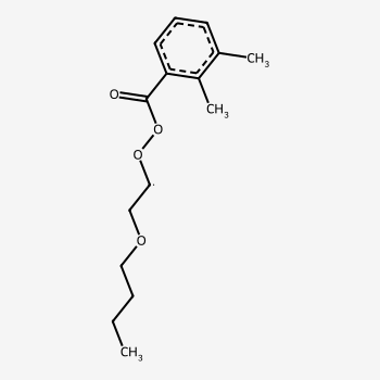 CCCCOC[CH]OOC(=O)c1cccc(C)c1C